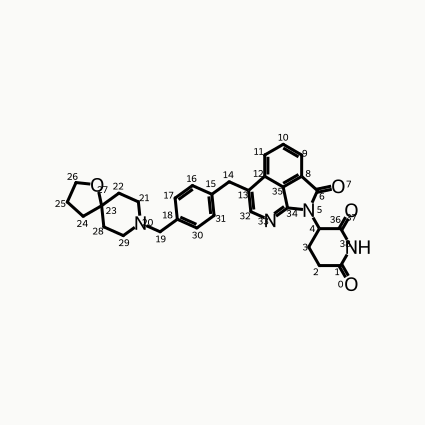 O=C1CCC(N2C(=O)c3cccc4c(Cc5ccc(CN6CCC7(CCCO7)CC6)cc5)cnc2c34)C(=O)N1